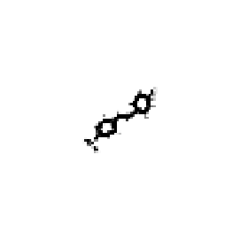 CN(C)c1ccc(C=Cc2ccc(Cl)cc2)cc1